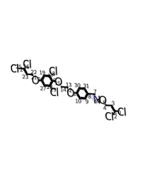 ClC(Cl)=CCO/N=C/c1ccc(OCCOc2c(Cl)cc(OCC=C(Cl)Cl)cc2Cl)cc1